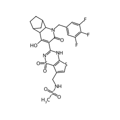 CS(=O)(=O)NCc1csc2c1S(=O)(=O)N=C(C1=C(O)C3C4CCC(C4)C3N(Cc3cc(F)c(F)c(F)c3)C1=O)N2